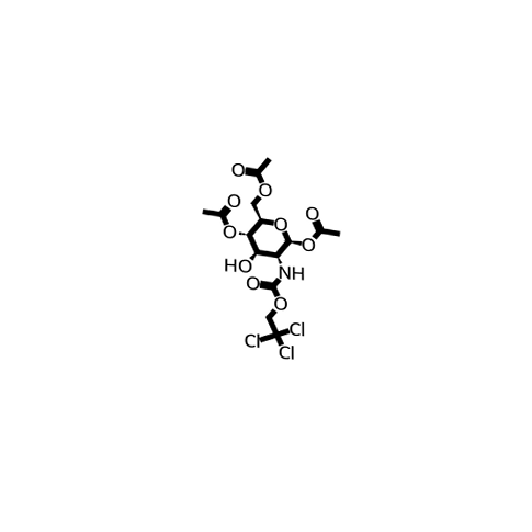 CC(=O)OC[C@H]1O[C@@H](OC(C)=O)[C@H](NC(=O)OCC(Cl)(Cl)Cl)[C@@H](O)[C@@H]1OC(C)=O